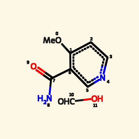 COc1ccncc1C(N)=O.O=CO